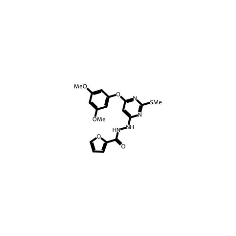 COc1cc(OC)cc(Oc2cc(NNC(=O)c3ccco3)nc(SC)n2)c1